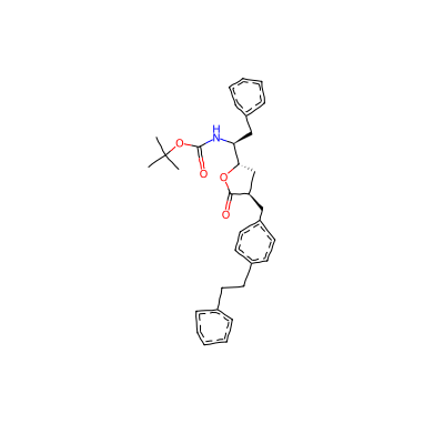 CC(C)(C)OC(=O)N[C@@H](Cc1ccccc1)[C@@H]1C[C@@H](Cc2ccc(CCc3ccccc3)cc2)C(=O)O1